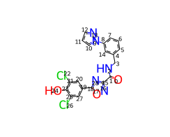 O=C(NCc1cccc(-n2cccn2)c1)c1noc(-c2cc(Cl)c(O)c(Cl)c2)n1